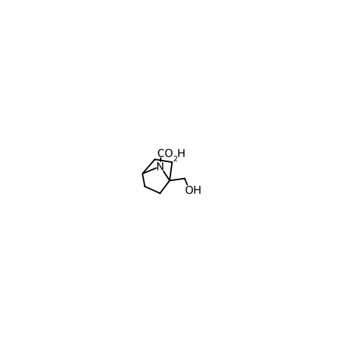 O=C(O)N1C2CCC1(CO)CC2